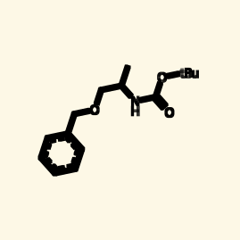 CC(COCc1ccccc1)NC(=O)OC(C)(C)C